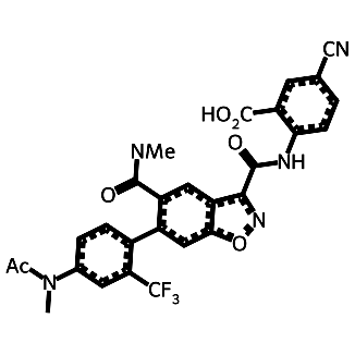 CNC(=O)c1cc2c(C(=O)Nc3ccc(C#N)cc3C(=O)O)noc2cc1-c1ccc(N(C)C(C)=O)cc1C(F)(F)F